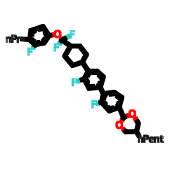 CCCCCC1COC(c2ccc(-c3ccc(C4CCC(C(F)(F)Oc5ccc(CCC)c(F)c5)CC4)c(F)c3)c(F)c2)OC1